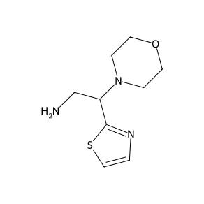 NCC(c1nccs1)N1CCOCC1